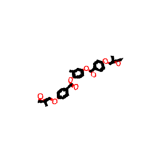 Cc1cc(OC(=O)c2ccc(OCC3(C)CO3)cc2)ccc1OC(=O)c1ccc(OCC2(C)CO2)cc1